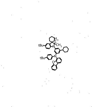 CC(C)(C)c1ccc(N(c2cc(C3CCCCC3)cc(N3c4ccc(C(C)(C)C)cc4C4(CCCCC4)C3(C)C)c2)c2cccc3c2oc2ccccc23)cc1